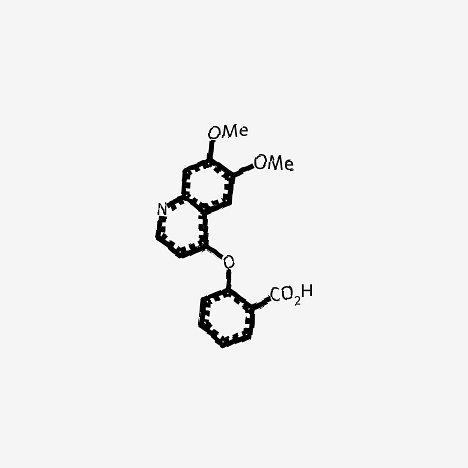 COc1cc2nccc(Oc3ccccc3C(=O)O)c2cc1OC